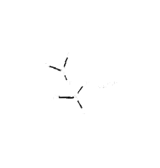 [O-]B([O-])[O-].[O-]B([O-])[O-].[Tb+3].[Y+3]